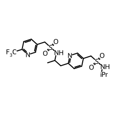 CC(C)NS(=O)(=O)Cc1ccc(CC(C)NS(=O)(=O)Cc2ccc(C(F)(F)F)nc2)nc1